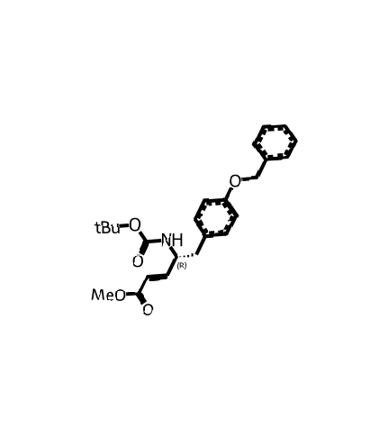 COC(=O)C=C[C@@H](Cc1ccc(OCc2ccccc2)cc1)NC(=O)OC(C)(C)C